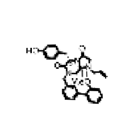 C=CCN1CC(=O)N2[C@@H]1CN(Cc1cccc(-c3ccccc3OC)c1)C(=O)[C@@H]2Cc1ccc(O)cc1